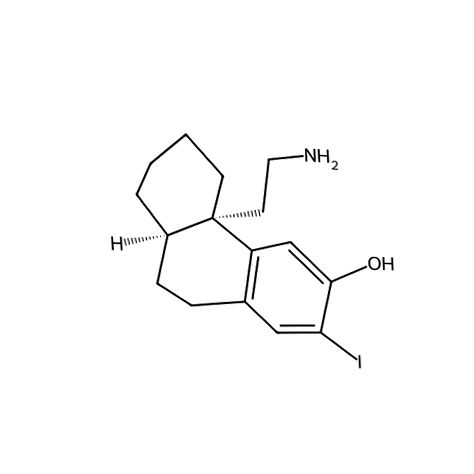 NCC[C@@]12CCCC[C@@H]1CCc1cc(I)c(O)cc12